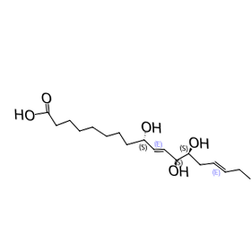 CC/C=C/C[C@H](O)[C@@H](O)/C=C/[C@@H](O)CCCCCCCC(=O)O